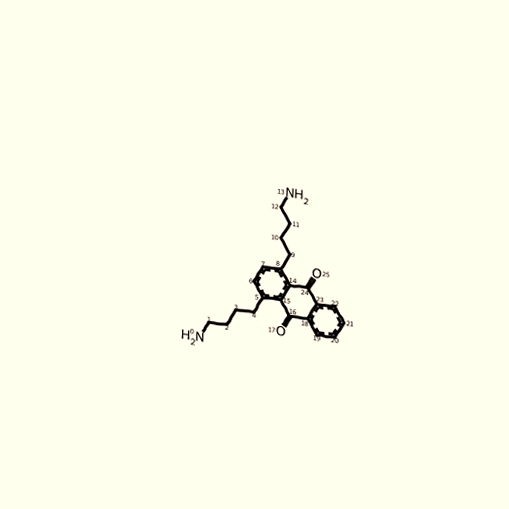 NCCCCc1ccc(CCCCN)c2c1C(=O)c1ccccc1C2=O